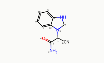 N#CC(C(N)=O)N1CNc2ccccc21